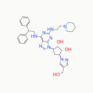 OCc1cnn([C@H]2C[C@@H](n3cnc4c(NCC(c5ccccc5)c5ccccc5)nc(NCCN5CCCCC5)nc43)[C@H](O)[C@@H]2O)c1